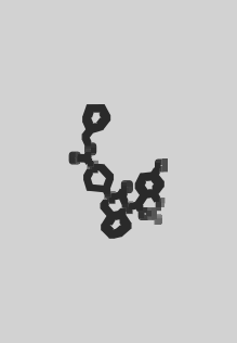 CC(c1ccc(Cl)cc1F)N1C(=O)N(C2CCN(C(=O)OCc3ccccc3)CC2)Cc2ccccc21